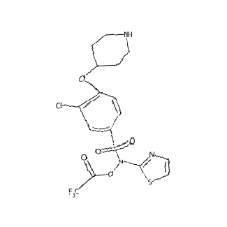 O=C(ON(c1nccs1)S(=O)(=O)c1ccc(OC2CCNCC2)c(Cl)c1)C(F)(F)F